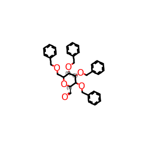 O=C[C@H]1OC(COCc2ccccc2)[C@H](OCc2ccccc2)[C@@H](OCc2ccccc2)C1OCc1ccccc1